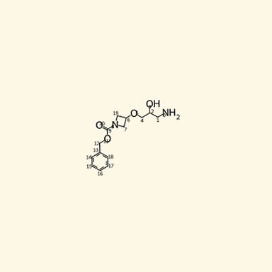 NCC(O)COC1CN(C(=O)OCc2ccccc2)C1